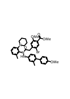 COC(=O)c1cc(Br)c(CC(=O)N(Nc2ccc(-c3ccc(OC)cc3)c(C)c2)c2c(C)cccc2N2CCCCC2)cc1OC